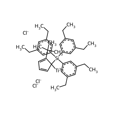 CCc1cc(CC)cc([Si](c2cc(CC)cc(CC)c2)(c2cc(CC)cc(CC)c2)[C]2([Ti+3])C=CC=C2C(C)(C)C)c1.[Cl-].[Cl-].[Cl-]